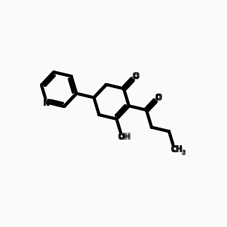 CCCC(=O)C1=C(O)CC(c2cccnc2)CC1=O